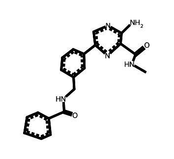 CNC(=O)c1nc(-c2cccc(CNC(=O)c3ccccc3)c2)cnc1N